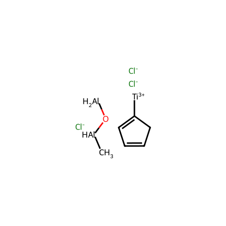 [CH3][AlH][O][AlH2].[Cl-].[Cl-].[Cl-].[Ti+3][C]1=CC=CC1